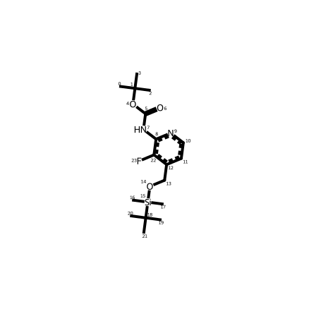 CC(C)(C)OC(=O)Nc1nccc(CO[Si](C)(C)C(C)(C)C)c1F